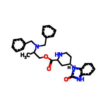 CC(COC(=O)C1C[C@@H](n2c(=O)[nH]c3ccccc32)CCN1)N(Cc1ccccc1)Cc1ccccc1